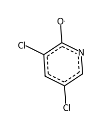 [O]c1ncc(Cl)cc1Cl